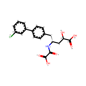 O=C(O)C(=O)N[C@H](Cc1ccc(-c2cccc(Cl)c2)cc1)CC(O)C(=O)O